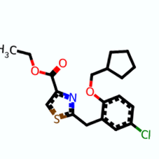 CCOC(=O)c1csc(Cc2cc(Cl)ccc2OCC2CCCC2)n1